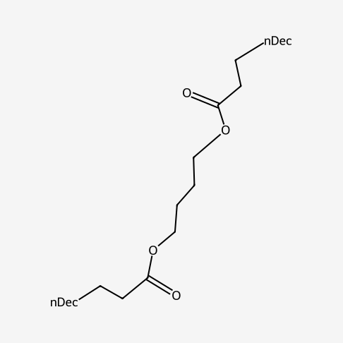 CCCCCCCCCCCCC(=O)OCCCCOC(=O)CCCCCCCCCCCC